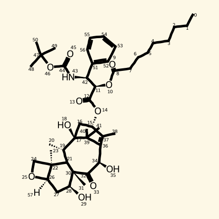 CCCCCCCCC(=O)O[C@@H](C(=O)O[C@H]1C[C@@]2(O)[C@@H](C)C3[C@]4(C)CO[C@@H]4C[C@H](O)[C@@]3(C)C(=O)[C@H](O)C(=C1C)C2(C)C)[C@@H](NC(=O)OC(C)(C)C)c1ccccc1